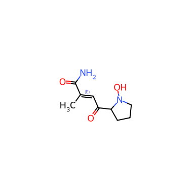 C/C(=C\C(=O)C1CCCN1O)C(N)=O